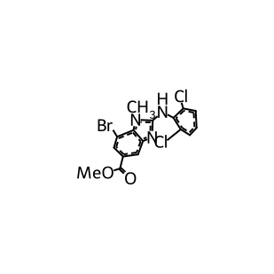 COC(=O)c1cc(Br)c2c(c1)nc(Nc1c(Cl)cccc1Cl)n2C